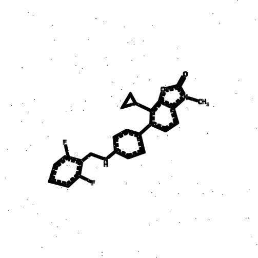 Cn1c(=O)oc2c(C3CC3)c(-c3ccc(NCc4c(F)cccc4F)cc3)ccc21